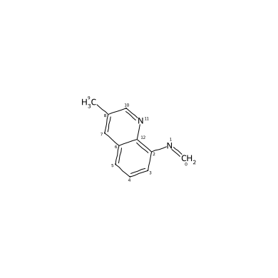 C=Nc1cccc2cc(C)cnc12